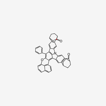 O=C1c2cc3c(cc2C2CCC1CC2)c1c(-c2ccccc2)c2oc4cccc5cccc(c54)c2c2c4cc5c(cc4n3c12)C(=O)C1CCC5CC1